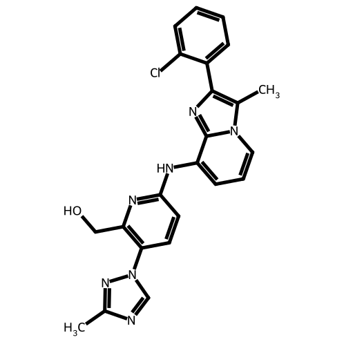 Cc1ncn(-c2ccc(Nc3cccn4c(C)c(-c5ccccc5Cl)nc34)nc2CO)n1